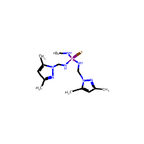 CCCCNP(=S)(NCn1nc(C)cc1C)NCn1nc(C)cc1C